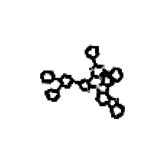 c1ccc(-c2nc(-c3ccccc3)nc(-c3cc(-c4ccc(-c5ccccc5)c(-c5ccccc5)c4)cnc3-n3c4ccccc4c4c5oc6ccccc6c5ccc43)n2)cc1